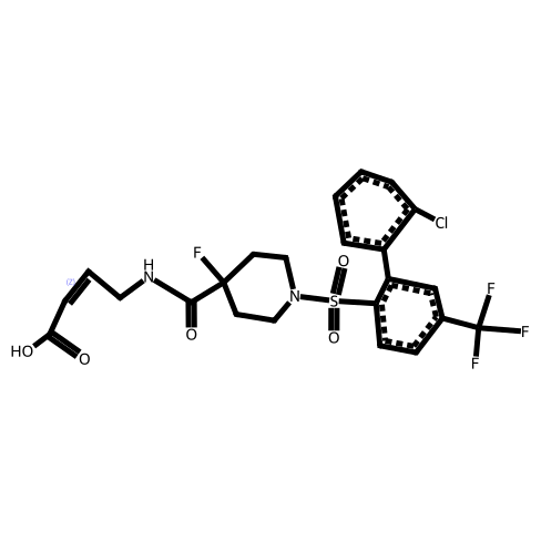 O=C(O)/C=C\CNC(=O)C1(F)CCN(S(=O)(=O)c2ccc(C(F)(F)F)cc2-c2ccccc2Cl)CC1